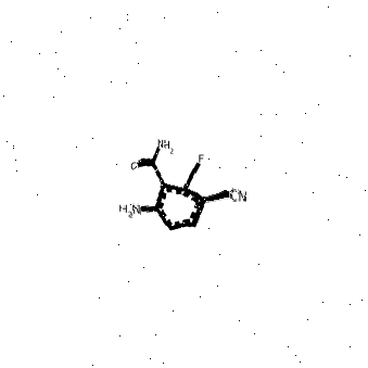 N#Cc1ccc(N)c(C(N)=O)c1F